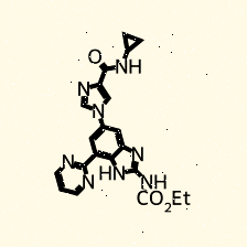 CCOC(=O)Nc1nc2cc(-n3cnc(C(=O)NC4CC4)c3)cc(-c3ncccn3)c2[nH]1